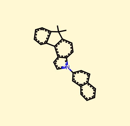 CC1(C)c2ccccc2-c2c1ccc1c2ccn1-c1ccc2ccccc2c1